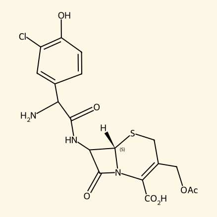 CC(=O)OCC1=C(C(=O)O)N2C(=O)C(NC(=O)C(N)c3ccc(O)c(Cl)c3)[C@@H]2SC1